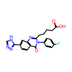 O=C(O)CCCCc1nc2cc(-c3nnc[nH]3)ccc2c(=O)n1-c1ccc(F)cc1